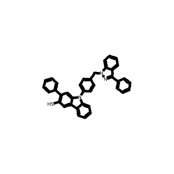 Sc1cc2c3ccccc3n(-c3ccc(Cn4nc(-c5ccccc5)c5ccccc54)cc3)c2cc1-c1ccccc1